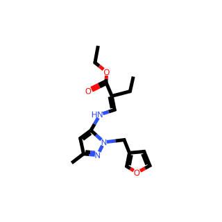 CCOC(=O)/C(=C\Nc1cc(C)nn1Cc1ccoc1)CC